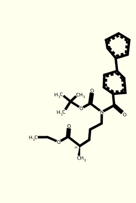 CCOC(=O)[C@H](C)CCCN(C(=O)OC(C)(C)C)C(=O)c1ccc(-c2ccccc2)cc1